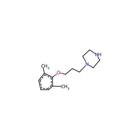 Cc1cccc(C)c1OCCCN1CCNCC1